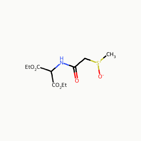 CCOC(=O)C(NC(=O)C[S+](C)[O-])C(=O)OCC